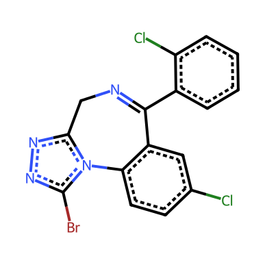 Clc1ccc2c(c1)C(c1ccccc1Cl)=NCc1nnc(Br)n1-2